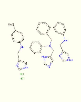 COc1ccc(NCc2c[nH]cn2)cc1.Cl.Cl.c1ccc(CN(Cc2cnc[nH]2)c2ccccc2)cc1.c1ccc(NCc2c[nH]cn2)cc1